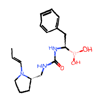 CC=CN1CCC[C@H]1CNC(=O)N[C@@H](Cc1ccccc1)B(O)O